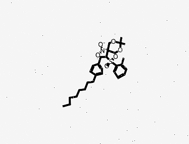 CCCCCCCCc1ccc(CC(C2([N+](=O)[O-])COC(C)(C)OC2)S(=O)(=O)c2ccccc2C)cc1